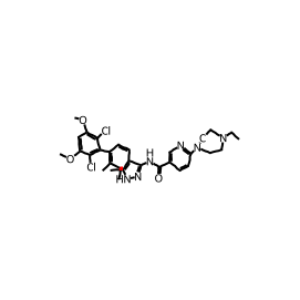 CC/C(C)=C(\C=C/c1c(NC(=O)c2ccc(N3CCN(CC)CC3)nc2)n[nH]c1C)c1c(Cl)c(OC)cc(OC)c1Cl